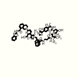 Cc1ncsc1-c1ccc([C@H](C)NC(=O)[C@@H]2C[C@@H](O)CN2C(=O)[C@@H](NC(=O)CCNC(=O)C23CC4CC(CC(Cn5ncc(-c6ccc(N7CCc8cccc(C(=O)Nc9nc%10ccccc%10s9)c8C7)nc6C(=O)O)c5C)(C4)C2)C3)C(C)(C)C)cc1